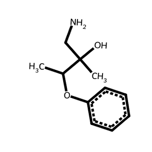 CC(Oc1ccccc1)C(C)(O)CN